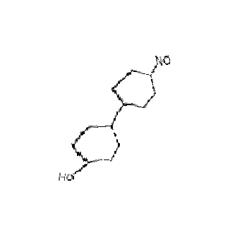 O=NC1CCC(C2CCC(O)CC2)CC1